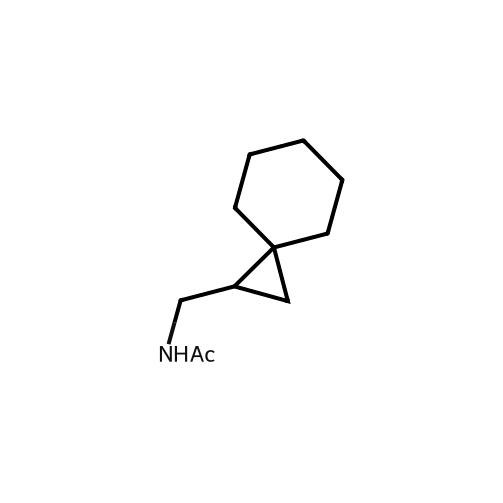 CC(=O)NCC1CC12CCCCC2